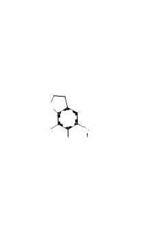 O=[N+]([O-])c1cc2c(c(Br)c1F)OCC2